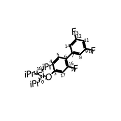 CC(C)[Si](Oc1ccc(-c2cc(F)cc(F)c2)c(F)c1)(C(C)C)C(C)C